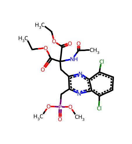 CCOC(=O)C(Cc1nc2c(Cl)ccc(Cl)c2nc1CP(=O)(OC)OC)(NC(C)=O)C(=O)OCC